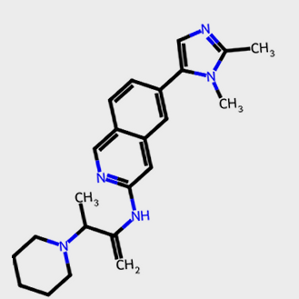 C=C(Nc1cc2cc(-c3cnc(C)n3C)ccc2cn1)C(C)N1CCCCC1